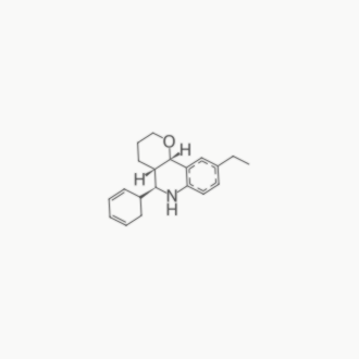 CCc1ccc2c(c1)[C@H]1OCCC[C@H]1[C@H](C1C=CC=CC1)N2